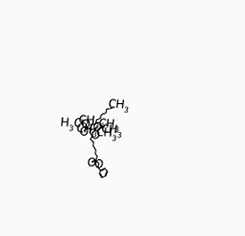 CCCCCCCCCC(CCCCCCCCC(=O)OCc1ccccc1)(C(=O)OC(C)(C)C)C(=O)OC(C)(C)C